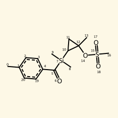 Cc1ccc(C(=O)[Si](C)(C)C2CC2(C)OS(C)(=O)=O)cc1